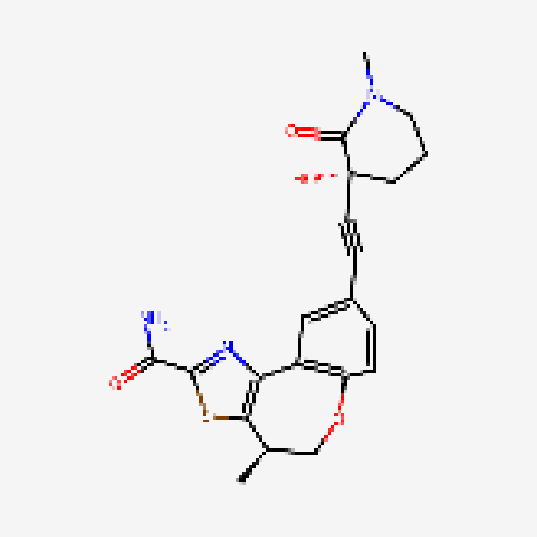 C[C@@H]1COc2ccc(C#C[C@]3(O)CCCN(C)C3=O)cc2-c2nc(C(N)=O)sc21